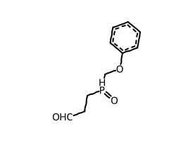 O=CCC[PH](=O)COc1ccccc1